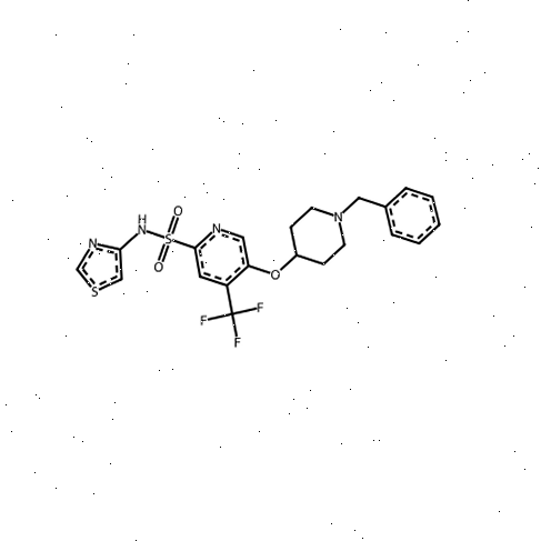 O=S(=O)(Nc1cscn1)c1cc(C(F)(F)F)c(OC2CCN(Cc3ccccc3)CC2)cn1